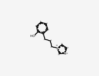 Oc1ccccc1CCCn1ccnc1